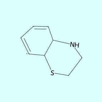 [C]1=CC=CC2NCCSC12